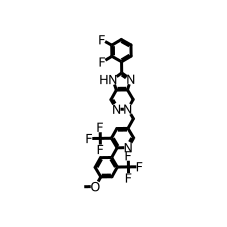 COc1ccc(-c2ncc(CN3Cc4nc(-c5cccc(F)c5F)[nH]c4C=N3)cc2C(F)(F)F)c(C(F)(F)F)c1